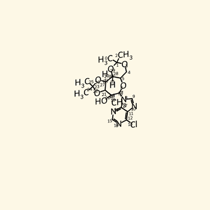 CC1(C)OCC2O[C@@H](n3cnc4c(Cl)ncnc43)[C@@](C)(O)C3OC(C)(C)O[C@H]3[C@@H]2O1